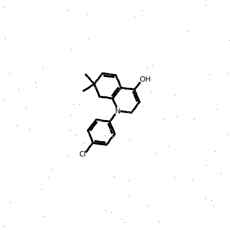 CC1(C)C=CC2=C(C1)N(c1ccc(Cl)cc1)CC=C2O